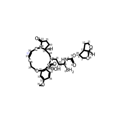 B[C@H](NC(=O)O[C@H]1CO[C@H]2OCCC21)[C@H](O)CN1C[C@H]2CCC(=O)N2C/C=C\CCOc2cc(OC)ccc2S1(=O)=O